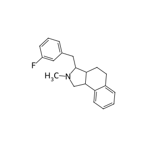 CN1CC2c3ccccc3CCC2C1Cc1cccc(F)c1